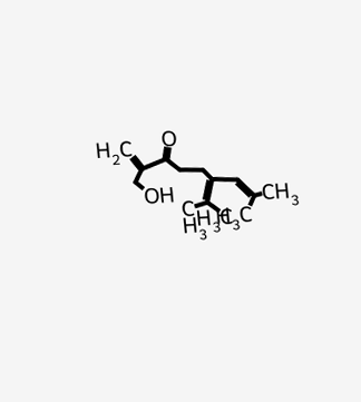 C=C(CO)C(=O)CCC(C=C(C)C)=C(C)C